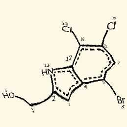 OCc1cc2c(Br)cc(Cl)c(Cl)c2[nH]1